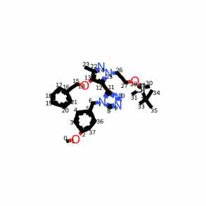 COc1ccc(Cn2cnnc2-c2c(OCc3ccccc3)c(C)nn2CCO[Si](C)(C)C(C)(C)C)cc1